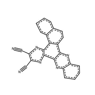 N#Cc1nc2c3nc4ccccc4nc3c3ccc4ccccc4c3c2nc1C#N